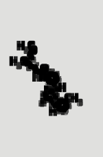 COCCN(C)C/C=C/C(=O)Nc1cccc(Nc2ncc(F)c(Nc3cccc(C)c3)n2)c1